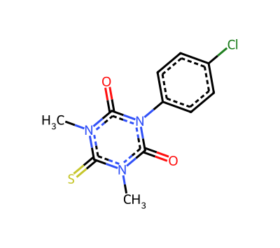 Cn1c(=S)n(C)c(=O)n(-c2ccc(Cl)cc2)c1=O